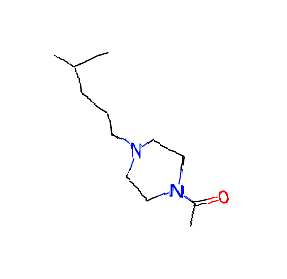 CC(=O)N1CCN(CCCC(C)C)CC1